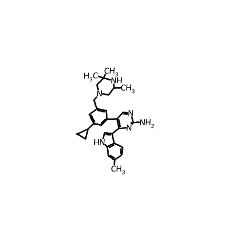 Cc1ccc2c(-c3nc(N)ncc3-c3cc(CN4CC(C)NC(C)(C)C4)cc(C4CC4)c3)c[nH]c2c1